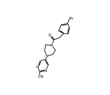 CC(C)c1ccc(CC(=O)N2CCN(c3cnc(C#N)nc3)CC2)cc1